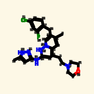 CC1=CC2=C(CCN3CCOCC3)C=C(Nc3cc(C)[nH]n3)NN2C=C1Cc1ccc(Cl)cc1F